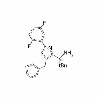 CC(C)(C)[C@@H](N)c1nc(-c2cc(F)ccc2F)sc1Cc1ccccc1